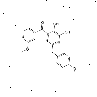 COc1ccc(Cc2nc(O)c(O)c(C(=O)c3cccc(OC)c3)n2)cc1